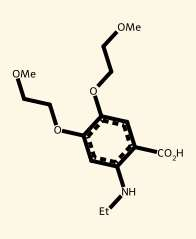 CCNc1cc(OCCOC)c(OCCOC)cc1C(=O)O